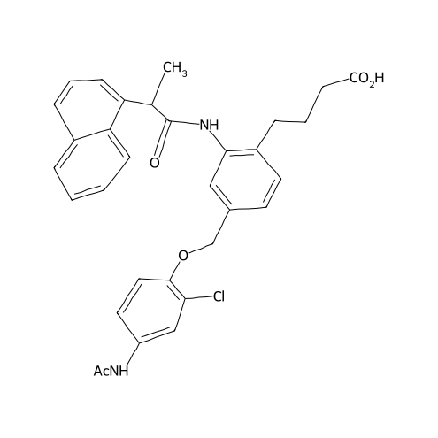 CC(=O)Nc1ccc(OCc2ccc(CCCC(=O)O)c(NC(=O)C(C)c3cccc4ccccc34)c2)c(Cl)c1